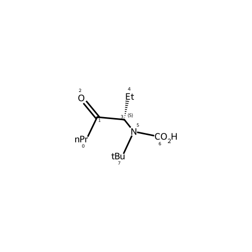 CCCC(=O)[C@H](CC)N(C(=O)O)C(C)(C)C